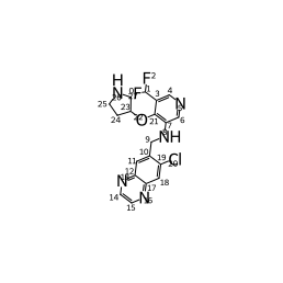 FC(F)c1cncc(NCc2cc3nccnc3cc2Cl)c1OC1CCNC1